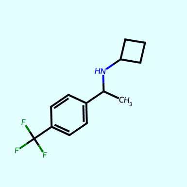 CC(NC1CCC1)c1ccc(C(F)(F)F)cc1